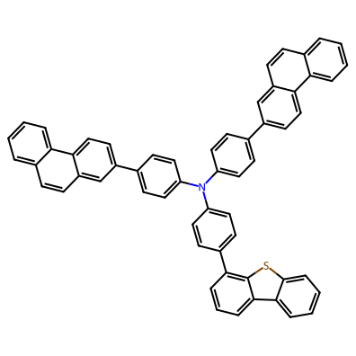 c1ccc2c(c1)ccc1cc(-c3ccc(N(c4ccc(-c5ccc6c(ccc7ccccc76)c5)cc4)c4ccc(-c5cccc6c5sc5ccccc56)cc4)cc3)ccc12